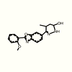 COc1ccccc1-c1nc2ccc(C3=NNC(O)CC3C)cc2o1